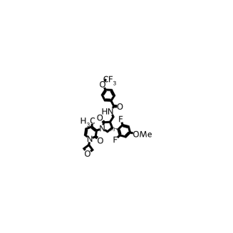 COc1cc(F)c([C@@H]2CN(c3c(C)ccn(C4COC4)c3=O)C(=O)C2CNC(=O)c2ccc(OC(F)(F)F)cc2)c(F)c1